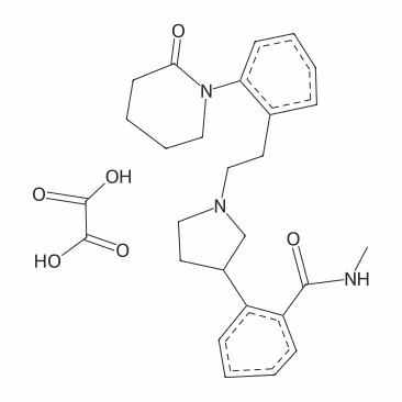 CNC(=O)c1ccccc1C1CCN(CCc2ccccc2N2CCCCC2=O)C1.O=C(O)C(=O)O